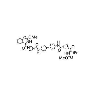 COC(=O)N[C@H](C(=O)N1CC[C@H](C(=O)Nc2ccc(-c3ccc(NC(=O)[C@@H]4CCN(C(=O)[C@H](NC(=O)OC)c5ccccc5)C4)cc3)cc2)C1)C(C)C